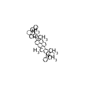 Cc1cc2c(cc1-c1ccc3ccc4c(-c5cc6c(cc5C)N(c5ccccc5)C5(C)CCCCC65C)ccc5ccc1c3c54)C1(C)CCCCC1(C)N2c1ccccc1